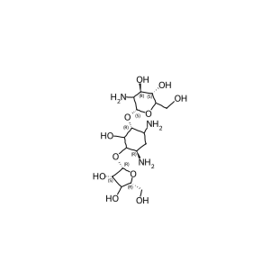 NC1C[C@@H](N)C(O[C@@H]2O[C@H](CO)C(O)[C@@H]2O)C(O)[C@@H]1O[C@H]1OC(CO)[C@@H](O)[C@H](O)C1N